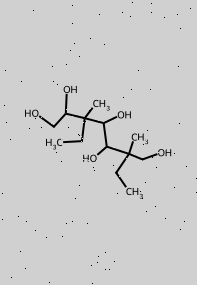 CCC(C)(CO)C(O)C(O)C(C)(CC)C(O)CO